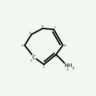 NC1=CCCCCC=C1